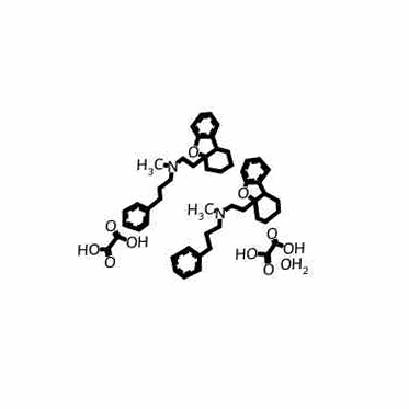 CN(CCCc1ccccc1)CCC12CCCCC1c1ccccc1O2.CN(CCCc1ccccc1)CCC12CCCCC1c1ccccc1O2.O.O=C(O)C(=O)O.O=C(O)C(=O)O